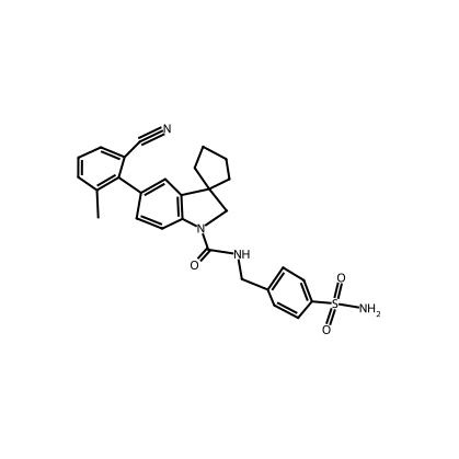 Cc1cccc(C#N)c1-c1ccc2c(c1)C1(CCCC1)CN2C(=O)NCc1ccc(S(N)(=O)=O)cc1